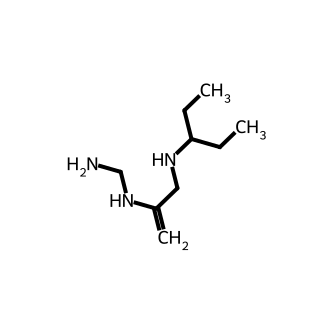 C=C(CNC(CC)CC)NCN